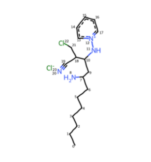 CCCCCCCC(N)CC(N[n+]1ccccc1)C(C#N)CCl.[Cl-]